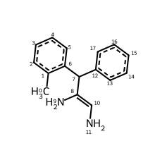 Cc1ccccc1C(/C(N)=C/N)c1ccccc1